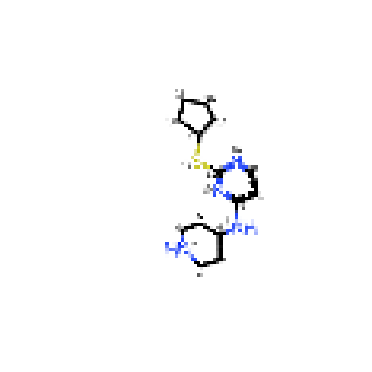 [c]1cc(NC2CCNCC2)nc(SC2CCCC2)n1